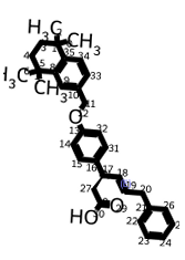 CC1(C)CCC(C)(C)c2cc(COc3ccc([C@@H](/C=C/Cc4ccccc4)CC(=O)O)cc3)ccc21